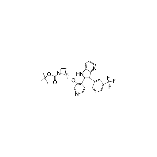 CC(C)(C)OC(=O)N1CC[C@@H]1COc1cnccc1-c1[nH]c2cccnc2c1-c1cccc(C(F)(F)F)c1